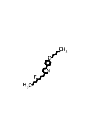 CCCCCCOc1ccc(-c2ccc(CCCC(F)CCCC)cn2)cc1